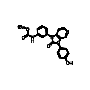 CC(C)(C)OC(=O)Nc1cccc(-n2c(=O)n(-c3ccc(O)cc3)c3cnccc32)c1